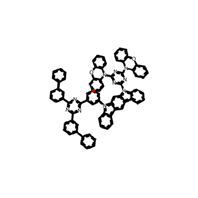 c1ccc(-c2cccc(-c3nc(-c4cccc(-c5ccccc5)c4)nc(-c4cccc(-n5c6ccccc6c6cc7c8ccccc8n(-c8nc(N9c%10ccccc%10Oc%10ccccc%109)nc(N9c%10ccccc%10Oc%10ccccc%109)n8)c7cc65)c4)n3)c2)cc1